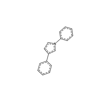 [c]1cc(-c2ccccc2)cn1-c1ccccc1